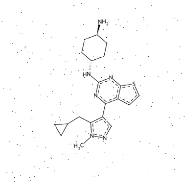 Cn1ncc(-c2nc(N[C@H]3CC[C@H](N)CC3)nc3sccc23)c1CC1CC1